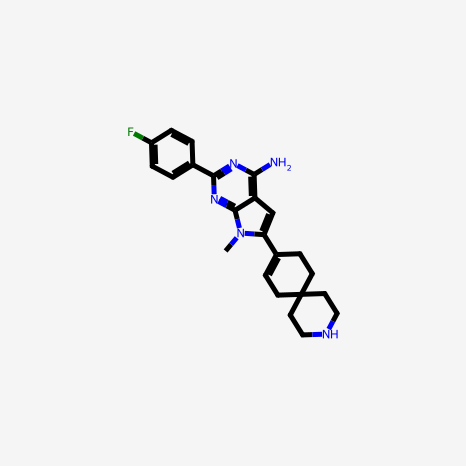 Cn1c(C2=CCC3(CCNCC3)CC2)cc2c(N)nc(-c3ccc(F)cc3)nc21